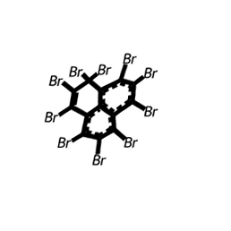 BrC1=C(Br)C(Br)(Br)c2c(Br)c(Br)c(Br)c3c(Br)c(Br)c(Br)c1c23